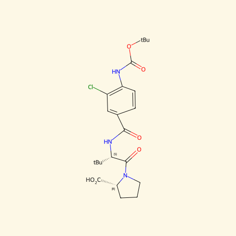 CC(C)(C)OC(=O)Nc1ccc(C(=O)N[C@H](C(=O)N2CCC[C@@H]2C(=O)O)C(C)(C)C)cc1Cl